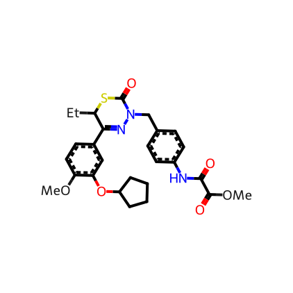 CCC1SC(=O)N(Cc2ccc(NC(=O)C(=O)OC)cc2)N=C1c1ccc(OC)c(OC2CCCC2)c1